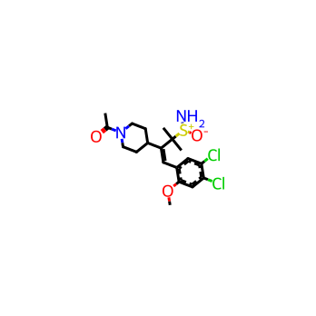 COc1cc(Cl)c(Cl)cc1C=C(C1CCN(C(C)=O)CC1)C(C)(C)[S+](N)[O-]